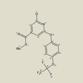 CC(C)(C)OC(=O)c1cc(Cl)nc(Oc2ccc(OC(F)(F)C(F)(F)F)cc2)c1